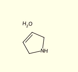 C1=CCNC1.O